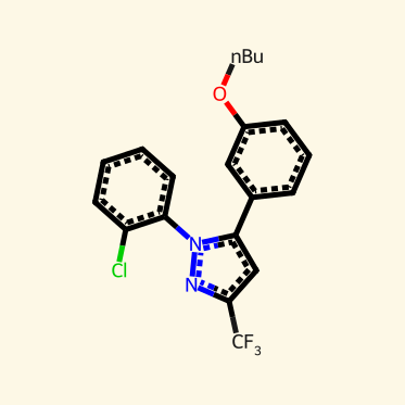 CCCCOc1cccc(-c2cc(C(F)(F)F)nn2-c2ccccc2Cl)c1